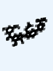 COc1cc(C(=O)N2C[C@H](N)C[C@@H](F)C2)cc2nc(-c3cc4ccc(-c5ccnc(C(N)=O)c5)nc4n3CC3CC3)n(C)c12